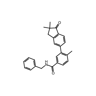 Cc1ccc(C(=O)NCc2ccccc2)cc1-c1ccc2c(c1)CC(C)(C)C2=O